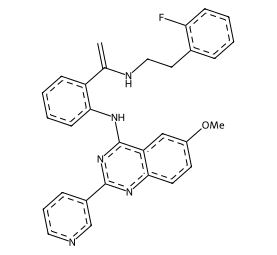 C=C(NCCc1ccccc1F)c1ccccc1Nc1nc(-c2cccnc2)nc2ccc(OC)cc12